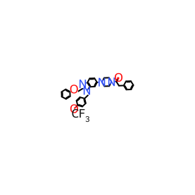 O=C(Cc1ccccc1)N1CCN(c2ccc3nc(COc4ccccc4)n(Cc4ccc(OC(F)(F)F)cc4)c3c2)CC1